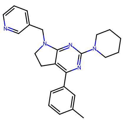 Cc1cccc(-c2nc(N3CCCCC3)nc3c2CCN3Cc2cccnc2)c1